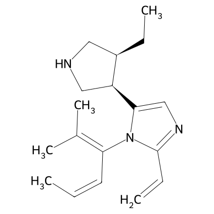 C=Cc1ncc([C@H]2CNC[C@H]2CC)n1C(/C=C\C)=C(C)C